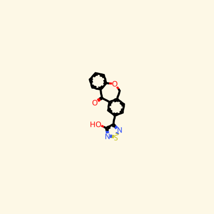 O=C1c2cc(-c3nsnc3O)ccc2COc2ccccc21